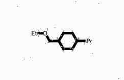 CCOCC1CCC(C(C)C)CC1